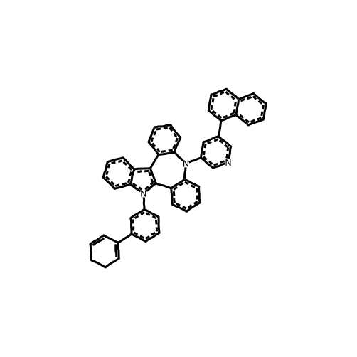 C1=CC(c2cccc(-n3c4c(c5ccccc53)-c3ccccc3N(c3cncc(-c5cccc6ccccc56)c3)c3ccccc3-4)c2)=CCC1